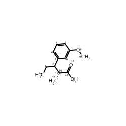 CCC(c1cccc(OC)c1)[C@@H](C)C(=O)O